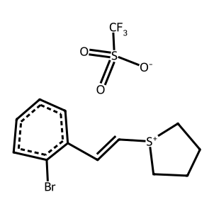 Brc1ccccc1C=C[S+]1CCCC1.O=S(=O)([O-])C(F)(F)F